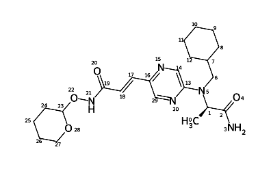 C[C@H](C(N)=O)N(CC1CCCCC1)c1cnc(/C=C/C(=O)NOC2CCCCO2)cn1